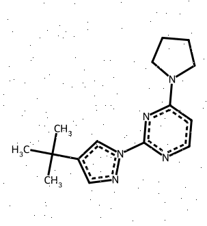 CC(C)(C)c1cnn(-c2nccc(N3CCCC3)n2)c1